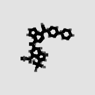 CNc1nc(Nc2ccc(C(=O)N3CCC(N4CCOCC4)CC3)c3c2OCC3)nc2[nH]cc(C(F)(F)F)c12